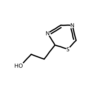 OCCC1N=CN=CS1